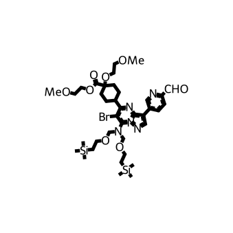 COCCOC(=O)C1(OCCOC)CCC(c2nc3c(-c4ccc(C=O)nc4)cnn3c(N(COCC[Si](C)(C)C)COCC[Si](C)(C)C)c2Br)CC1